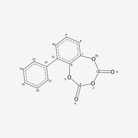 O=C1OC(=O)Oc2c(cccc2-c2ccccc2)O1